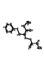 CN(C#N)C(=O)CCN(OCc1ccccc1)C(=O)OC(C)(C)C